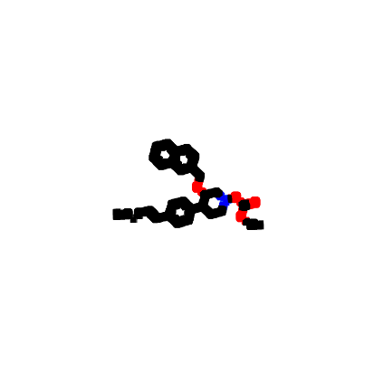 CCOC(=O)C=Cc1ccc(C2CCN(OC(=O)OC(C)(C)C)CC2OCc2ccc3ccccc3c2)cc1